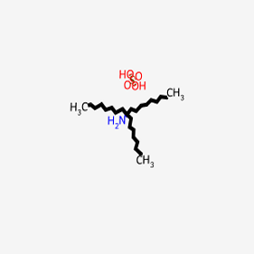 CCCCCCCCCC(N)(CCCCCCCC)CCCCCCCC.O=S(=O)(O)O